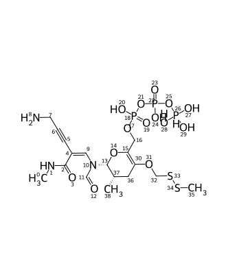 CNC(=O)/C(C#CCN)=C\N(C=O)[C@@H]1OC(COP(=O)(O)OP(=O)(O)O[PH](O)(O)O)=C(OCSSC)C[C@@H]1C